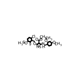 COC(=O)c1c(OCc2c(Cl)ccc(OC)c2F)nsc1NCc1ccc(OC)cc1OC